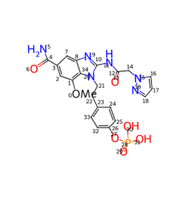 COc1cc(C(N)=O)cc2nc(NC(=O)Cn3cccn3)n(CCc3ccc(OP(=O)(O)O)cc3)c12